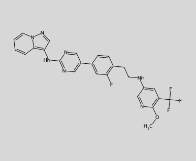 COc1ncc(NCCc2ccc(-c3cnc(Nc4cnn5ccccc45)nc3)cc2F)cc1C(F)(F)F